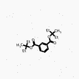 CCC(C)(CC)OC(=O)c1cccc(C(=O)OC(C)(CC)CC)c1